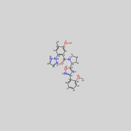 COc1cc(C(=O)N2CCCC2c2nc(-c3ccccc3OC)no2)c(-n2nccn2)cc1C